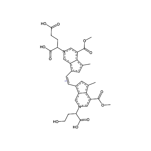 COC(=O)c1cn(C(CCO)C(=O)O)cc2c(/C=C\c3cc(C)c4c(C(=O)OC)cn(C(CCC(=O)O)C(=O)O)cc3-4)cc(C)c1-2